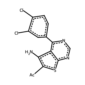 CC(=O)c1sc2ncnc(-c3ccc(Cl)c(Cl)c3)c2c1N